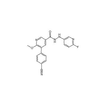 COc1ncc(C(=O)NNc2ccc(F)nc2)cc1-c1ccc(C#N)cc1